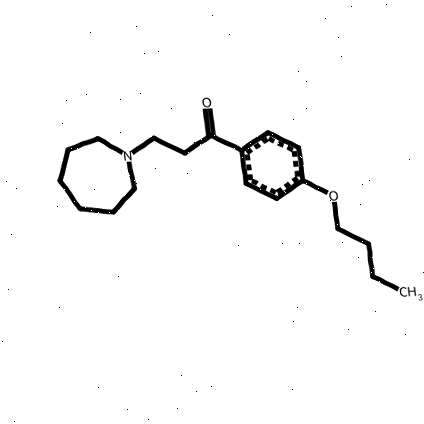 CCCCOc1ccc(C(=O)CCN2CCCCCC2)cc1